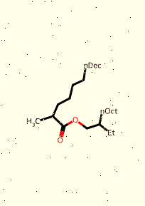 CCCCCCCCCCCCCCC(C)C(=O)OCC(CC)CCCCCCCC